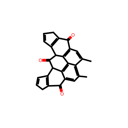 Cc1cc2c3c4c5c(cc(C)c14)C(=O)C1=C(C=CC1)C5C(=O)C3C1=C(CC=C1)C2=O